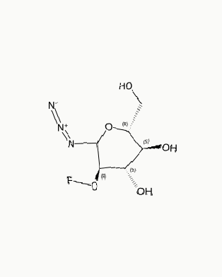 [N-]=[N+]=NC1O[C@H](CO)[C@@H](O)[C@H](O)[C@H]1OF